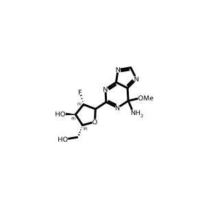 COC1(N)N=C(C2O[C@H](CO)[C@@H](O)[C@@H]2F)N=C2N=CN=C21